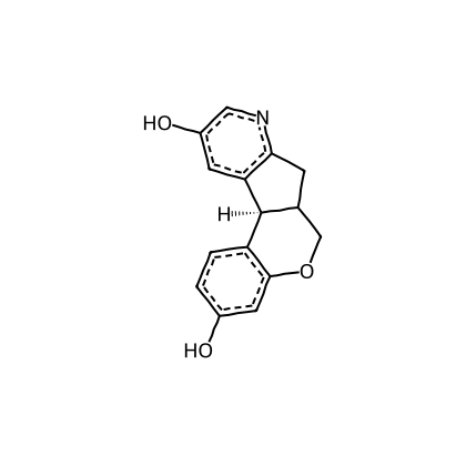 Oc1ccc2c(c1)OCC1Cc3ncc(O)cc3[C@H]21